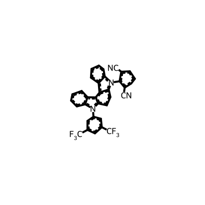 N#Cc1cccc(C#N)c1-n1c2ccccc2c2c3c4ccccc4n(-c4cc(C(F)(F)F)cc(C(F)(F)F)c4)c3ccc21